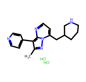 Cc1nn2c(CC3CCCNC3)ccnc2c1-c1ccncc1.Cl.Cl